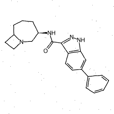 O=C(N[C@@H]1CCCC2CCN2C1)c1n[nH]c2cc(-c3ccccc3)ccc12